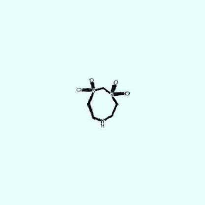 O=S1(=O)CCNCCS(=O)(=O)C1